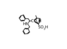 Cc1ccc(S(=O)(=O)O)cc1.O=C(O)C(Cc1ccccc1)NCc1ccccc1